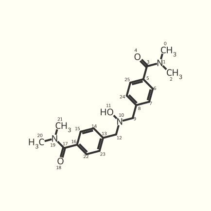 CN(C)C(=O)c1ccc(CN(O)Cc2ccc(C(=O)N(C)C)cc2)cc1